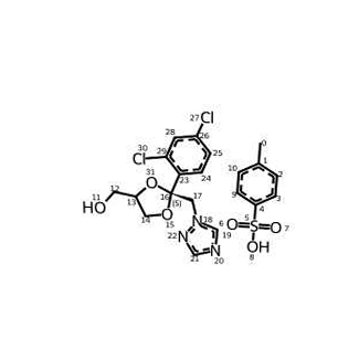 Cc1ccc(S(=O)(=O)O)cc1.OCC1CO[C@@](Cn2cncn2)(c2ccc(Cl)cc2Cl)O1